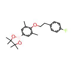 Cc1cc(B2OC(C)(C)C(C)(C)O2)cc(C)c1OCCc1ccc(F)cc1